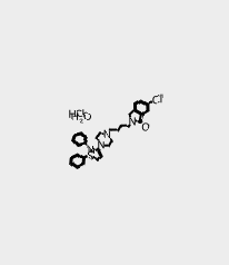 Cl.O.O=C1c2cc(Cl)ccc2CN1CCCCN1CCN(C2=CC=S(c3ccccc3)N2c2ccccc2)CC1